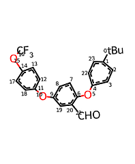 CC(C)(C)c1ccc(Oc2ccc(Oc3ccc(OC(F)(F)F)cc3)cc2C=O)cc1